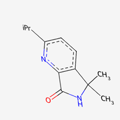 CC(C)c1ccc2c(n1)C(=O)NC2(C)C